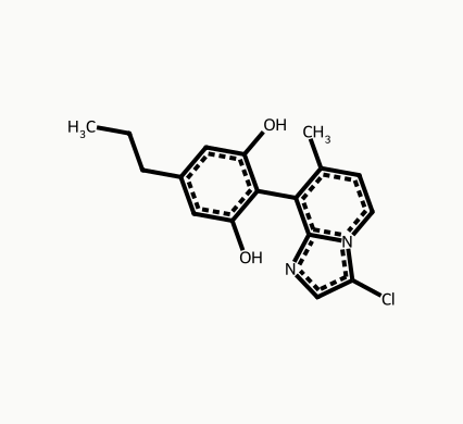 CCCc1cc(O)c(-c2c(C)ccn3c(Cl)cnc23)c(O)c1